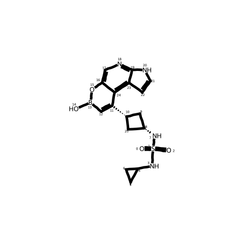 O=S(=O)(NC1CC1)N[C@H]1C[C@@H](C2=CB(O)Oc3cnc4[nH]ccc4c32)C1